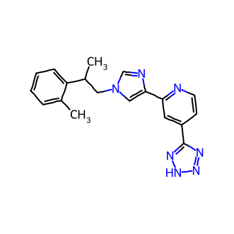 Cc1ccccc1C(C)Cn1cnc(-c2cc(-c3nn[nH]n3)ccn2)c1